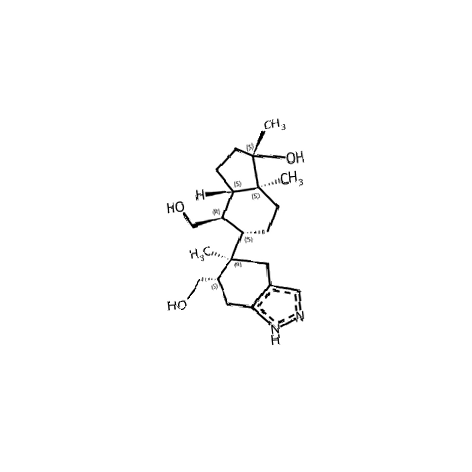 C[C@]1([C@H]2CC[C@@]3(C)[C@@H](CC[C@]3(C)O)[C@@H]2CO)Cc2cn[nH]c2C[C@@H]1CO